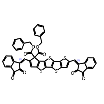 O=C1C(=O)c2ccccc2/C1=C/C1=Cc2sc3c(sc4c5sc(/C=C6\C(=O)C(=O)c7ccccc76)cc5sc34)c2C1(C(=O)OCc1ccccc1)C(=O)OCc1ccccc1